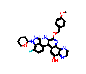 COc1ccc(COc2nc3c(cc(O)c4nccnc43)c(-c3ccc(F)c4c3cnn4C3CCCCO3)c2N)cc1